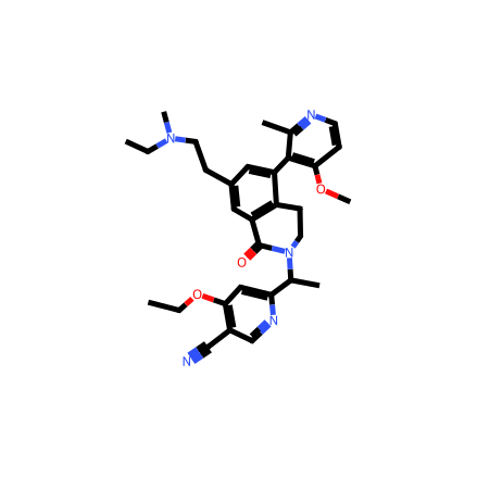 CCOc1cc(C(C)N2CCc3c(cc(CCN(C)CC)cc3-c3c(OC)ccnc3C)C2=O)ncc1C#N